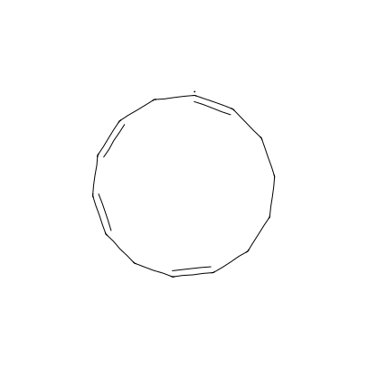 [C]1=CCCCCC=CCC=CC=CC1